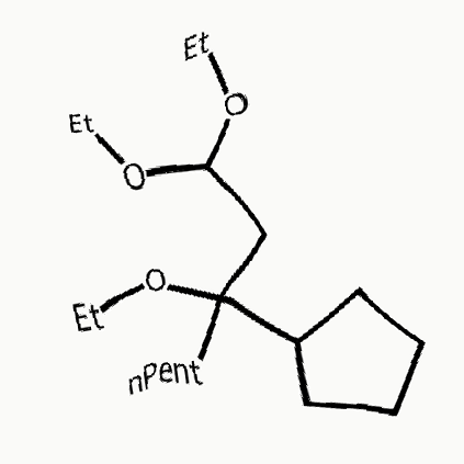 CCCCCC(CC(OCC)OCC)(OCC)C1CCCC1